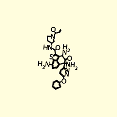 C=CC(=O)N1CCC(NC(=O)c2sc3c(N)ccc4c3c2C(N)C(=O)C4(N)c2ccc(Oc3ccccc3)nn2)C1